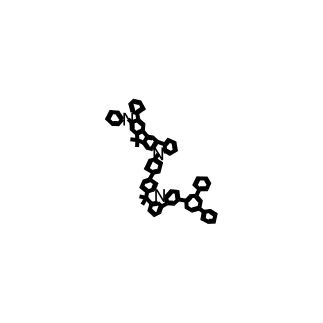 CC1(C)c2cc3c(cc2-c2cc4c5ccccc5n(-c5ccc(-c6ccc7c(c6)-n6c8ccc(C9=CC(c%10ccccc%10)=CC(c%10ccccc%10)=CC9)cc8c8cccc(c86)C7(C)C)cc5)c4cc21)c1ccccc1n3-c1ccccc1